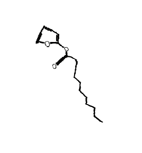 CCCCCCCCCC(=O)OC1=CC=CC=CO1